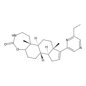 CCc1cncc(C2=CC[C@H]3[C@@H]4CCC5OC(=O)NCC[C@]5(C)[C@H]4CC[C@]23C)n1